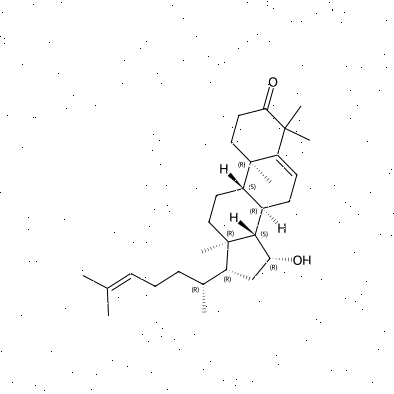 CC(C)=CCC[C@@H](C)[C@H]1C[C@@H](O)[C@H]2[C@@H]3CC=C4C(C)(C)C(=O)CC[C@]4(C)[C@H]3CC[C@@]21C